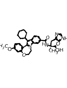 COc1ccc2c(c1)OCCn1c-2c(C2CCCCC2)c2ccc(C(=O)N[C@@](C)(Cc3c[nH]cn3)C(=O)O)cc21